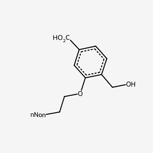 CCCCCCCCCCCOc1cc(C(=O)O)ccc1CO